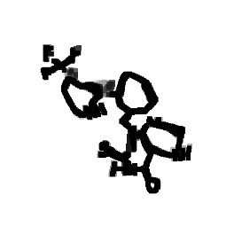 O=c1[nH]c(=S)n(Cc2ccccc2[C@H]2C[C@@H](C(F)(F)F)CCN2)c2nc[nH]c12